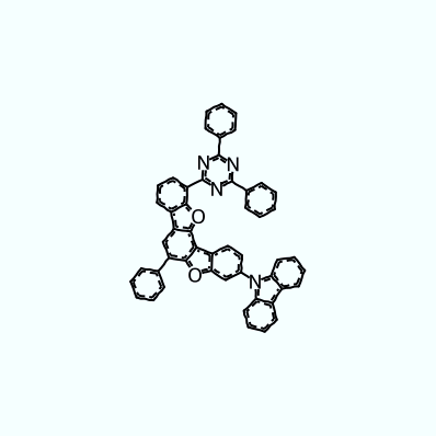 c1ccc(-c2nc(-c3ccccc3)nc(-c3cccc4c3oc3c4cc(-c4ccccc4)c4oc5cc(-n6c7ccccc7c7ccccc76)ccc5c43)n2)cc1